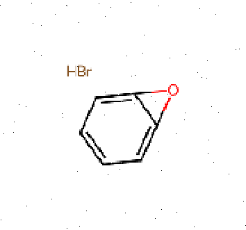 Br.c1ccc2c(c1)O2